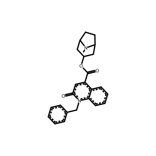 CN1C2CCC1CC(OC(=O)c1cc(=O)n(Cc3ccccc3)c3ccccc13)C2